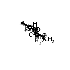 CC(C)C(=O)NCc1ccc(Cl)c(-n2nc(-c3ccc(C#CC4CC4)c(F)c3)[nH]c2=O)c1